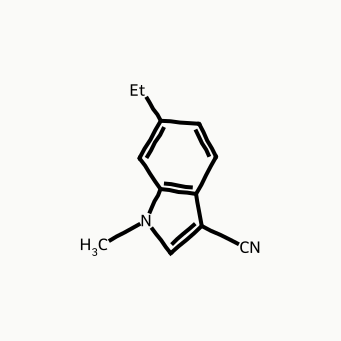 CCc1ccc2c(C#N)cn(C)c2c1